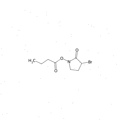 CCCC(=O)ON1CCC(Br)C1=O